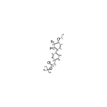 CCOc1ccc(-c2ccc(CC(=O)OC(C)(C)C)cc2)c(F)c1F